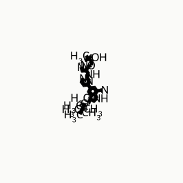 CC1(CO)COc2c(Nc3nccc(-c4cc(C#N)c5c(c4)[C@@](C)(CO[Si](C)(C)C(C)(C)C)CN5)n3)cnn2C1